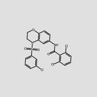 O=C(Nc1ccc2c(c1)N(S(=O)(=O)c1cccc(Cl)c1)CCO2)c1c(Cl)cccc1Cl